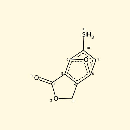 O=C1OCc2c1c1oc2cc1[SiH3]